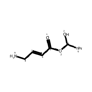 CCCC(O)OC(=O)/C=C/CN